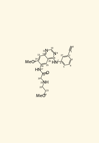 C#Cc1cccc(Nc2ncnc3cc(OC)c(NC(=O)CNCCOC)cc23)c1